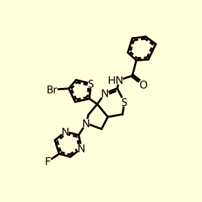 O=C(NC1=NC2(c3cc(Br)cs3)CN(c3ncc(F)cn3)CC2CS1)c1ccccc1